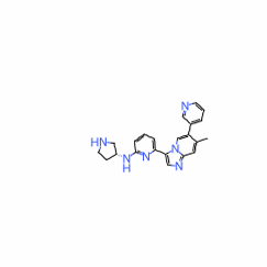 Cc1cc2ncc(-c3cccc(N[C@@H]4CCNC4)n3)n2cc1-c1cccnc1